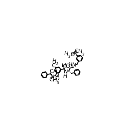 Cc1cc(C(=O)N[C@@H](Cc2ccccc2)[C@H](O)CNCc2cccc(N(C)C)c2)cc(C(=O)N(C)[C@H](C)c2ccccc2)c1